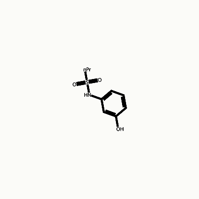 CCCS(=O)(=O)Nc1cccc(O)c1